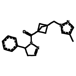 Cc1cnn(CC23CC(C(=O)N4N=CCC4c4ccccc4)(C2)C3)c1